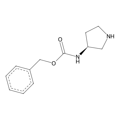 O=C(N[C@H]1CCNC1)OCc1ccccc1